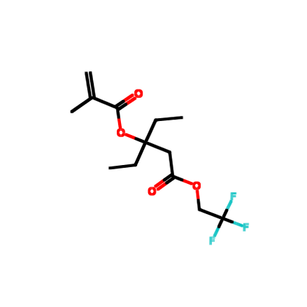 C=C(C)C(=O)OC(CC)(CC)CC(=O)OCC(F)(F)F